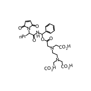 CCCC(C(=O)NC(OC(=O)CN(CCN(CC(=O)O)CC(=O)O)CC(=O)O)c1ccccc1)N1C(=O)C=CC1=O